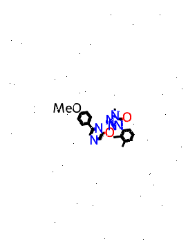 COc1ccc(-c2cncc(OCc3c(C)cccc3-n3nnn(C)c3=O)n2)cc1